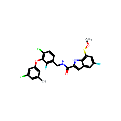 COOSc1cc(F)cc2cc(C(=O)NCc3ccc(Cl)c(Oc4cc(Cl)cc(C#N)c4)c3F)[nH]c12